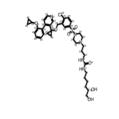 O=C(NCCCC[C@H](O)CO)NCCCN1CCN(S(=O)(=O)c2ccc(Cl)c(COC3(c4cnccc4-c4ccccc4OC4CC4)CC3)c2)CC1